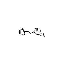 CCC(N)CCc1cccs1